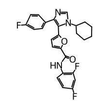 O=C(Nc1ccc(F)cc1F)c1ccc(-c2c(-c3ccc(F)cc3)ncn2C2CCCCC2)o1